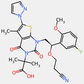 COc1ccc(F)cc1[C@H](Cn1c(=O)n(C(C)(C)C(=O)O)c(=O)c2c(C)c(-n3cccn3)sc21)OCCC#N